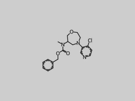 CN(C(=O)OCc1ccccc1)C1COCCN(c2cnccc2Cl)C1